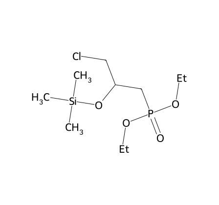 CCOP(=O)(CC(CCl)O[Si](C)(C)C)OCC